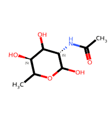 CC(=O)N[C@@H]1C(O)OC(C)[C@@H](O)C1O